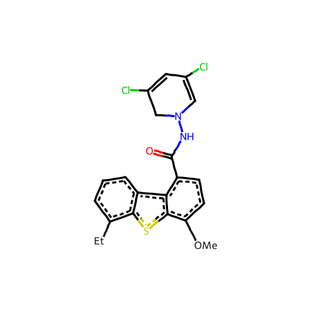 CCc1cccc2c1sc1c(OC)ccc(C(=O)NN3C=C(Cl)C=C(Cl)C3)c12